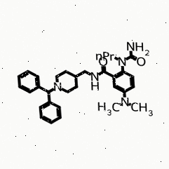 CCCN(C(N)=O)c1ccc(N(C)C)cc1C(=O)NCC1CCN(C(c2ccccc2)c2ccccc2)CC1